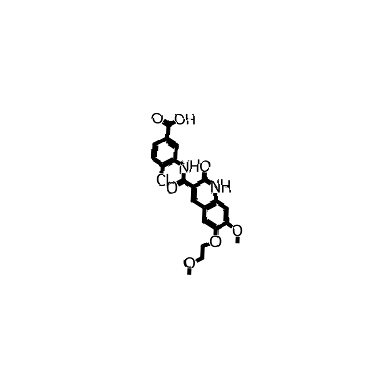 COCCOc1cc2cc(C(=O)Nc3cc(C(=O)O)ccc3Cl)c(=O)[nH]c2cc1OC